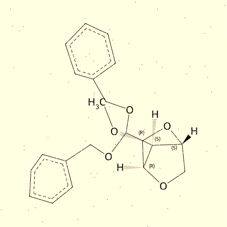 CO[C@@H]1O[C@@H]2CO[C@@H]1[C@H]2C(OCc1ccccc1)OCc1ccccc1